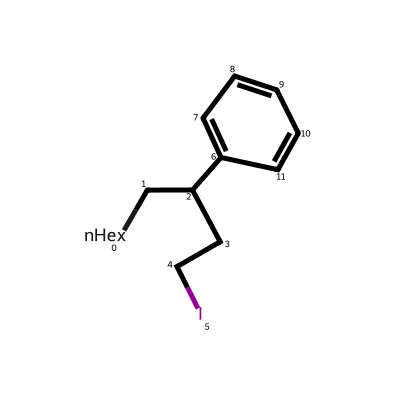 CCCCCCCC(CCI)c1ccccc1